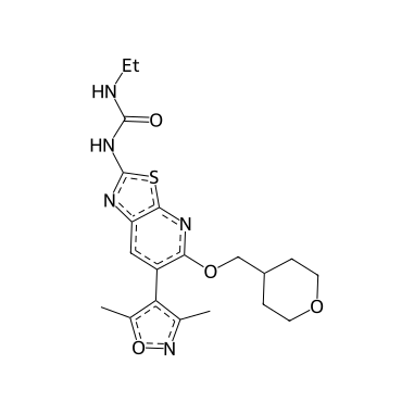 CCNC(=O)Nc1nc2cc(-c3c(C)noc3C)c(OCC3CCOCC3)nc2s1